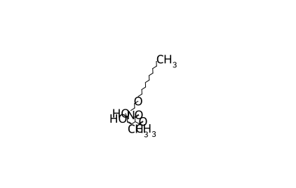 CCCCCCCCCCCCOCCCN1C(=O)C(C(C)=O)C(C)=CC1(O)O